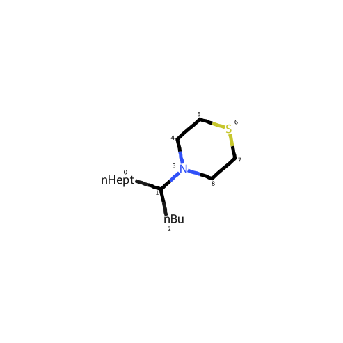 CCCCCCCC(CCCC)N1CCSCC1